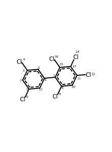 Clc1cc(Cl)cc(-c2c(Cl)cc(Cl)c(Cl)c2Cl)c1